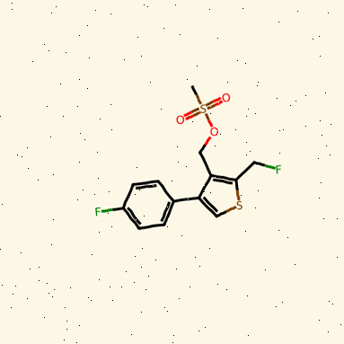 CS(=O)(=O)OCc1c(-c2ccc(F)cc2)csc1CF